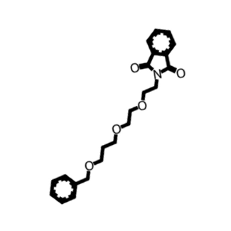 O=C1c2ccccc2C(=O)N1CCOCCOCCCOCc1ccccc1